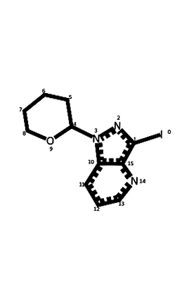 Ic1nn(C2CCCCO2)c2cccnc12